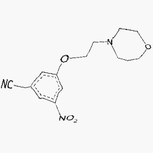 N#Cc1cc(OCCN2CCOCC2)cc([N+](=O)[O-])c1